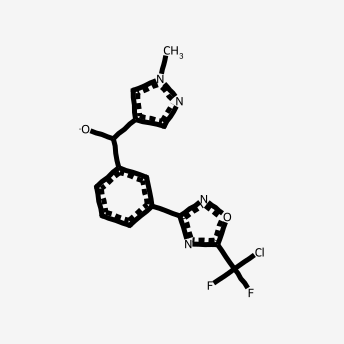 Cn1cc(C([O])c2cccc(-c3noc(C(F)(F)Cl)n3)c2)cn1